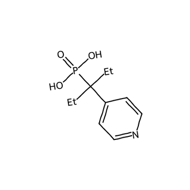 CCC(CC)(c1ccncc1)P(=O)(O)O